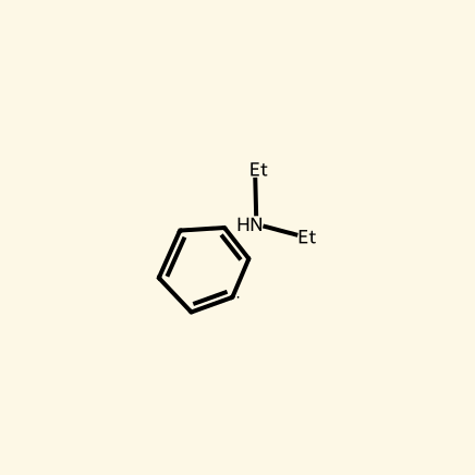 CCNCC.[c]1ccccc1